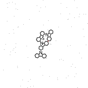 c1cc(-n2c3ccccc3c3ccccc32)c2sc3c(-n4c5ccccc5c5cc(-n6c7ccccc7c7ccccc76)ccc54)cccc3c2c1